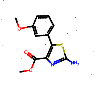 COC(=O)c1nc(N)sc1-c1cccc(OC)c1